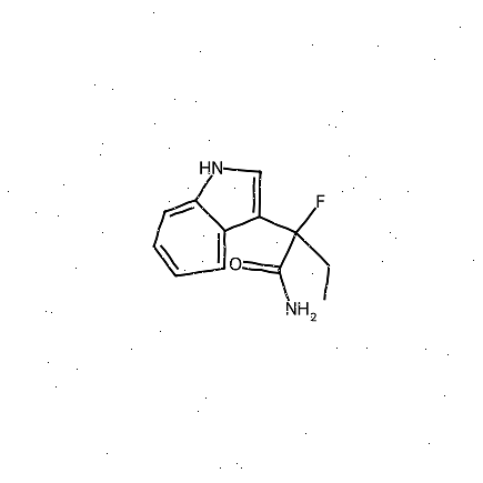 CCC(F)(C(N)=O)c1c[nH]c2ccccc12